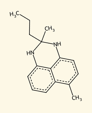 CCCC1(C)Nc2cccc3c(C)ccc(c23)N1